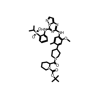 COc1cc(C2CCN(C(=O)C3CCCCN3C(=O)OC(C)(C)C)CC2)c(C)cc1Nc1nc(Nc2ccccc2S(=O)(=O)C(C)C)n2nccc2n1